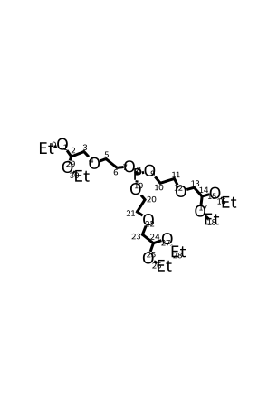 CCOC(COCCOP(OCCOCC(OCC)OCC)OCCOCC(OCC)OCC)OCC